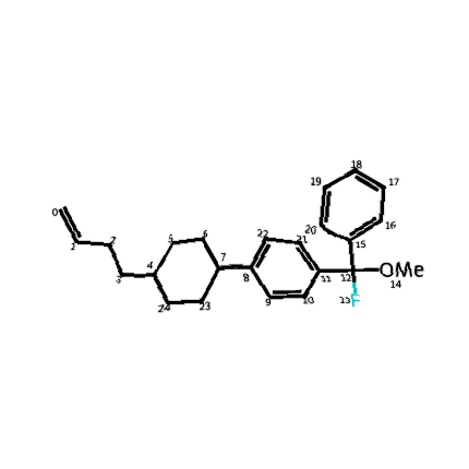 C=CCCC1CCC(c2ccc(C(F)(OC)c3ccccc3)cc2)CC1